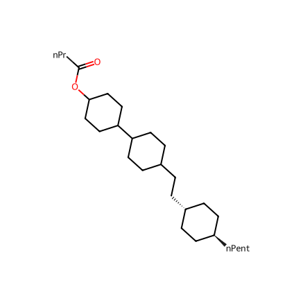 CCCCC[C@H]1CC[C@H](CCC2CCC(C3CCC(OC(=O)CCC)CC3)CC2)CC1